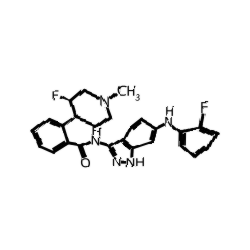 CN1CC[C@@H](c2ccccc2C(=O)Nc2n[nH]c3cc(Nc4ccccc4F)ccc23)[C@@H](F)C1